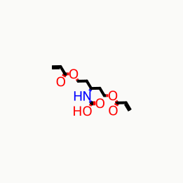 C=CC(=O)OCCC(CCOC(=O)C=C)NC(=O)O